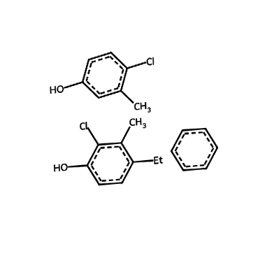 CCc1ccc(O)c(Cl)c1C.Cc1cc(O)ccc1Cl.c1ccccc1